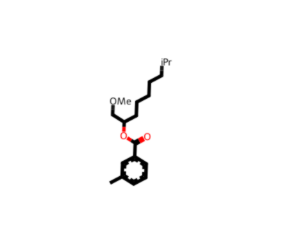 COCC(CCCCCC(C)C)OC(=O)c1cccc(C)c1